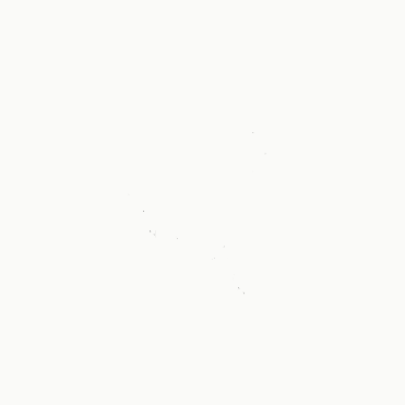 CC1(C)OB(c2ccc(C3(NC(=O)OC4CN5CCC4CC5)CC3)cc2)OC1(C)C